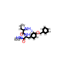 CCC(C)NC(=O)C(Cc1ccc(OCc2ccccc2)cc1)NC(=O)C(N)CC(C)C